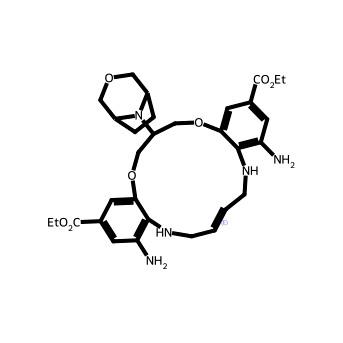 CCOC(=O)c1cc(N)c2c(c1)OCC(N1C3CCC1COC3)COc1cc(C(=O)OCC)cc(N)c1NC/C=C/CN2